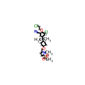 Cn1c(COc2ccc(C(C)(C)c3cc(Cl)c(OCCCl)c(C#N)c3)cc2)ccc1S(C)(=O)=O